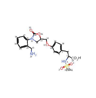 CCCCS(=O)(=O)NC(Cc1ccc(OCC2CN(c3ccccc3CN)C(=O)O2)cc1)C(=O)O